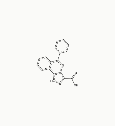 O=C(O)c1n[nH]c2c1nc(-c1ccccc1)c1ccccc12